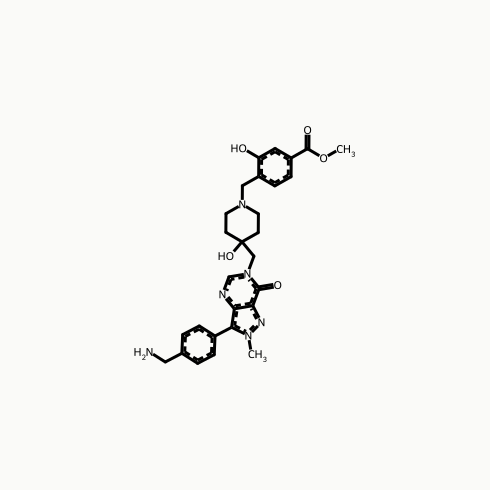 COC(=O)c1ccc(CN2CCC(O)(Cn3cnc4c(-c5ccc(CN)cc5)n(C)nc4c3=O)CC2)c(O)c1